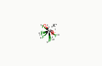 [K+].[O]=[Nb](=[O])([O-])([F])([F])([F])([F])([F])([F])[F]